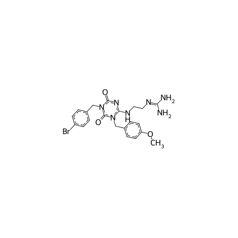 COc1ccc(Cn2c(NCCN=C(N)N)nc(=O)n(Cc3ccc(Br)cc3)c2=O)cc1